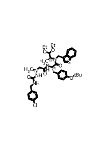 CCOC(OCC)[C@H](C)N(Cc1csc2ccccc12)C(=O)[C@H](Cc1ccc(OC(C)(C)C)cc1)NC(=O)CN(C)NC(=O)NCc1ccc(Cl)cc1